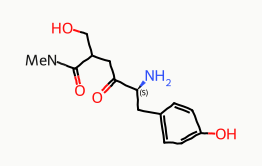 CNC(=O)C(CO)CC(=O)[C@@H](N)Cc1ccc(O)cc1